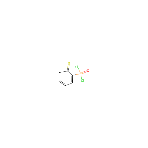 O=P(Cl)(Cl)C1=CC=CCC1=S